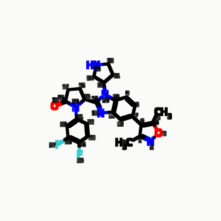 Cc1noc(C)c1-c1ccc2c(c1)nc([C@@H]1CCC(=O)N1c1ccc(F)c(F)c1)n2[C@@H]1CCNC1